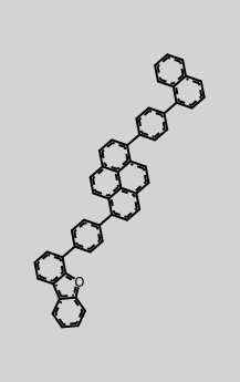 c1ccc2c(-c3ccc(-c4ccc5ccc6c(-c7ccc(-c8cccc9c8oc8ccccc89)cc7)ccc7ccc4c5c76)cc3)cccc2c1